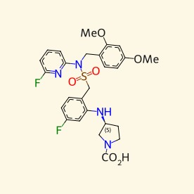 COc1ccc(CN(c2cccc(F)n2)S(=O)(=O)Cc2ccc(F)cc2N[C@H]2CCN(C(=O)O)C2)c(OC)c1